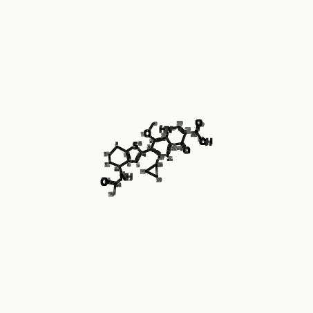 COc1c(-c2cc3c(s2)CCCC3NC(C)=O)c(C2CC2)cc2c(=O)c(C(=O)O)c[nH]c12